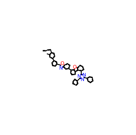 C=C/C=C\c1ccc(-c2cccc(-c3nc4cc(-c5cccc6c5oc5cccc(-c7nc(-c8ccccc8)nc(-c8ccccc8)n7)c56)ccc4o3)c2)cc1C